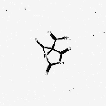 NC(=O)C12C(=O)NC(=O)N1C2F